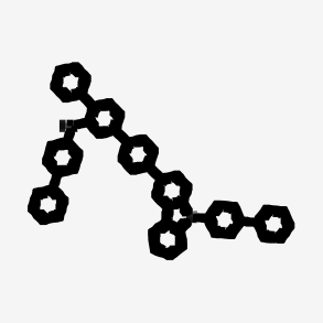 c1ccc(-c2ccc(Nc3cc(-c4ccc(-c5ccc6c(c5)c5ccccc5n6-c5ccc(-c6ccccc6)cc5)cc4)ccc3-c3ccccc3)cc2)cc1